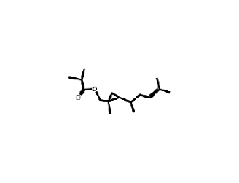 CC(C)=CCC(C)C1CC1(C)COC(=O)C(C)C